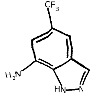 Nc1cc(C(F)(F)F)cc2cn[nH]c12